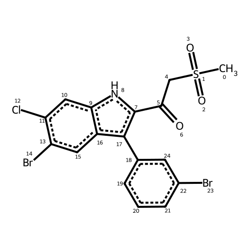 CS(=O)(=O)CC(=O)c1[nH]c2cc(Cl)c(Br)cc2c1-c1cccc(Br)c1